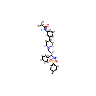 Cc1ccc(S(=O)(=O)N[C@@H](CCN2CCC(c3cccc(NC(=O)C(C)C)c3)CC2)c2ccccc2)cc1